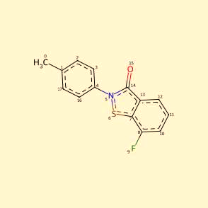 Cc1ccc(-n2sc3c(F)cccc3c2=O)cc1